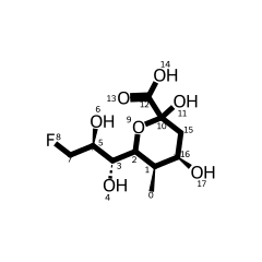 C[C@H]1C([C@H](O)[C@H](O)CF)OC(O)(C(=O)O)C[C@H]1O